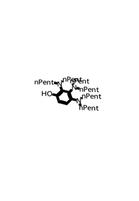 CCCCCN(CCCCC)c1ccc(O)c(N(CCCCC)CCCCC)c1N(CCCCC)CCCCC